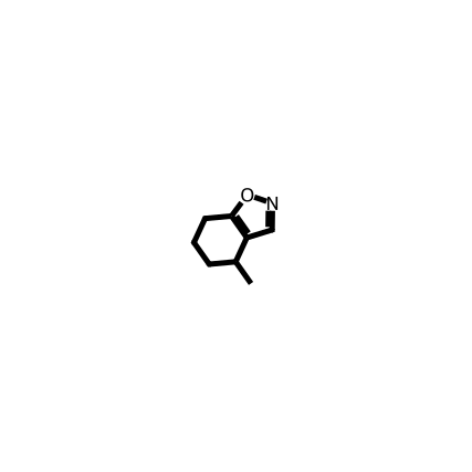 CC1CCCc2oncc21